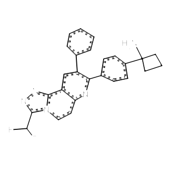 NC1(c2ccc(-c3nc4ccn5c(C(F)F)nnc5c4cc3-c3ccccc3)cc2)CCC1